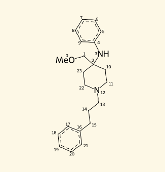 COCC1(Nc2ccccc2)CCN(CCCc2ccccc2)CC1